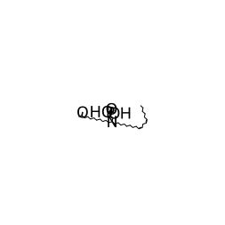 CCCCC/C=C\C/C=C\CCCCCCCCN(CCCCCCCCCC(C)=O)CCP(=O)(O)O